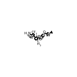 Cc1ccc(-c2cc(C(F)(F)F)c3c(N)ncnn23)cc1C(=O)N[C@@H]1CN(C(=O)c2cn(C3CC3)nn2)C[C@@H]1F